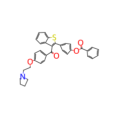 O=C(Oc1ccc(-c2sc3ccccc3c2C(=O)c2ccc(OCCN3CCCC3)cc2)cc1)c1ccccc1